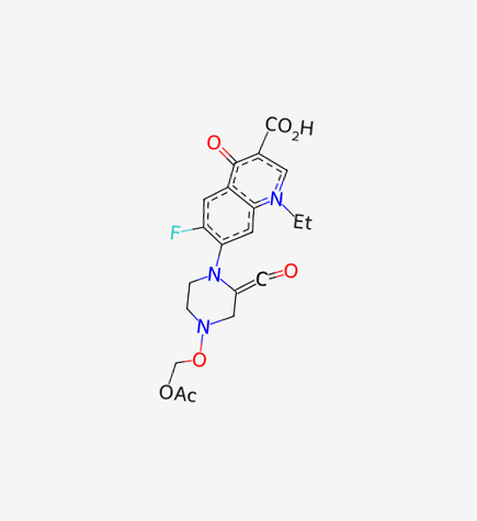 CCn1cc(C(=O)O)c(=O)c2cc(F)c(N3CCN(OCOC(C)=O)CC3=C=O)cc21